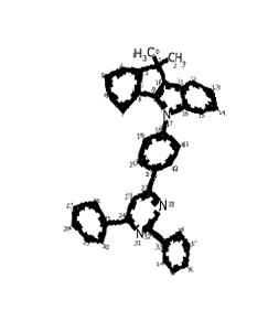 CC1(C)c2ccccc2-c2c1c1ccccc1n2-c1ccc(-c2cc(-c3ccccc3)nc(-c3ccccc3)n2)cc1